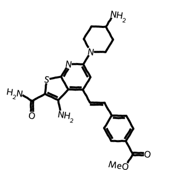 COC(=O)c1ccc(C=Cc2cc(N3CCC(N)CC3)nc3sc(C(N)=O)c(N)c23)cc1